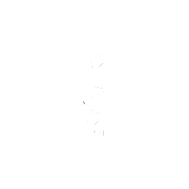 Cc1ccc(C(=O)OCC(=O)CCc2ccccc2)cc1